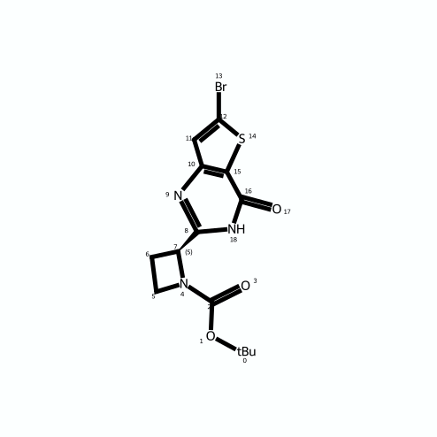 CC(C)(C)OC(=O)N1CC[C@H]1c1nc2cc(Br)sc2c(=O)[nH]1